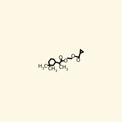 CC(C(=O)OCCOC(=O)C1CC1)C1CCCC(C)(C)C1